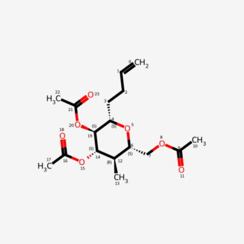 C=CCC[C@@H]1O[C@H](COC(C)=O)[C@@H](C)[C@H](OC(C)=O)[C@H]1OC(C)=O